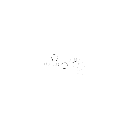 Cc1ccccc1Nc1ccc2c(c1)oc1cc3c(cc12)C(C)(C)CCC3(C)C